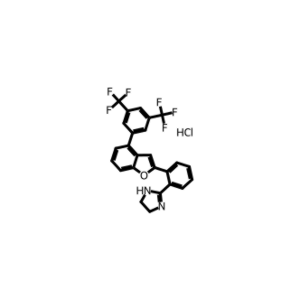 Cl.FC(F)(F)c1cc(-c2cccc3oc(-c4ccccc4C4=NCCN4)cc23)cc(C(F)(F)F)c1